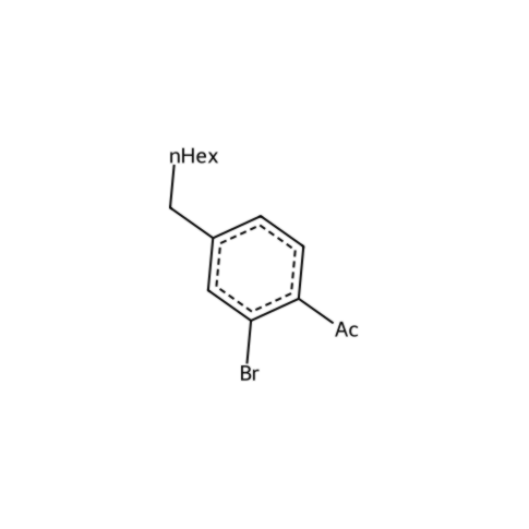 CCCCCCCc1ccc(C(C)=O)c(Br)c1